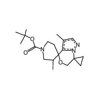 Cc1cnn2c1C1(CCN(C(=O)OC(C)(C)C)CC1I)OCC21CC1